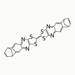 C1=CC2CCC1c1cc3nc4c(nc3cc12)SC(=C1Sc2nc3cc5c(cc3nc2S1)C1C=CC5CC1)S4